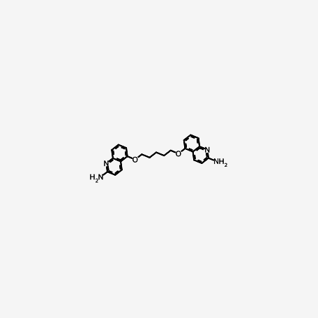 Nc1ccc2c(OCCCCCOc3cccc4nc(N)ccc34)cccc2n1